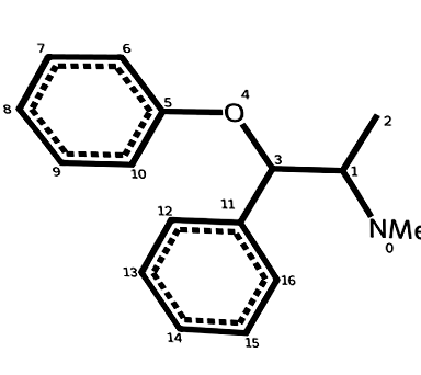 CNC(C)C(Oc1ccccc1)c1ccccc1